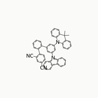 CC1(C)c2ccccc2N(c2cc(-c3ccccc3-c3ccc(C#N)cc3C#N)cc(-n3c4ccccc4c4ccccc43)c2)c2ccccc21